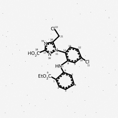 CCOC(=O)c1ccccc1Nc1cc(Cl)ccc1-n1nc(C(=O)O)nc1CCl